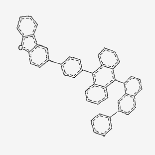 c1ccc(-c2ccc3cccc(-c4c5ccccc5c(-c5ccc(-c6ccc7oc8ccccc8c7c6)cc5)c5ccccc45)c3c2)cc1